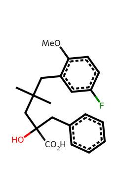 COc1ccc(F)cc1CC(C)(C)CC(O)(Cc1ccccc1)C(=O)O